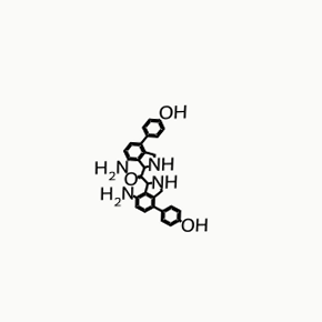 Nc1ccc(-c2ccc(O)cc2)c2c1C(C(=O)C1NCc3c(-c4ccc(O)cc4)ccc(N)c31)NC2